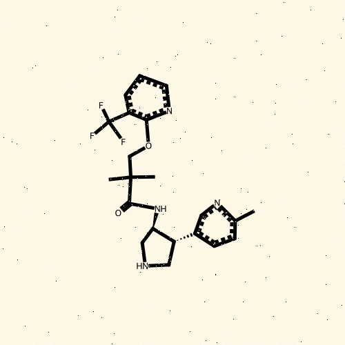 Cc1ccc([C@@H]2CNC[C@H]2NC(=O)C(C)(C)COc2ncccc2C(F)(F)F)cn1